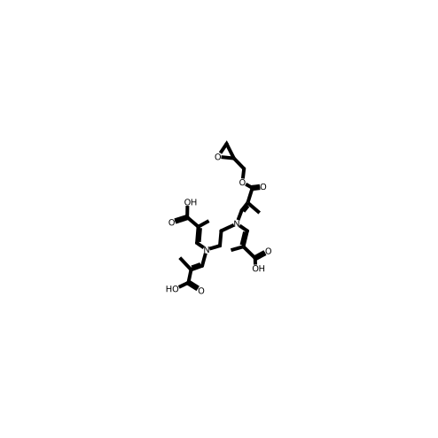 CC(=CN(C=C(C)C(=O)O)CCN(C=C(C)C(=O)O)C=C(C)C(=O)OCC1CO1)C(=O)O